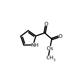 [CH3][Os][C](=O)C(=O)c1ccc[nH]1